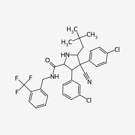 CC(C)(C)CC1NC(C(=O)NCc2ccccc2C(F)(F)F)C(c2cccc(Cl)c2)C1(C#N)c1ccc(Cl)cc1